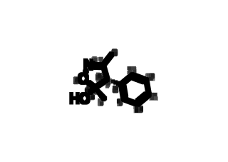 CC1=NO[C@@](C)(O)[C@H]1c1ccccc1